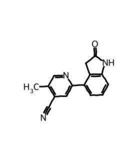 Cc1cnc(-c2cccc3c2CC(=O)N3)cc1C#N